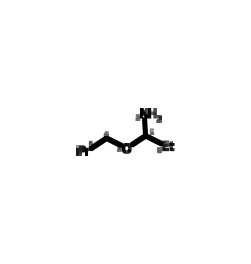 CCC(N)OCC(C)C